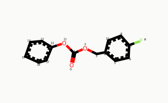 O=C(OCc1ccc(F)cc1)Oc1ccccc1